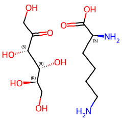 NCCCC[C@H](N)C(=O)O.O=C(CO)[C@@H](O)[C@H](O)[C@H](O)CO